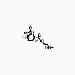 CNCCONC(=O)[C@@H]1CC[C@@H]2CN1C(=O)N2C